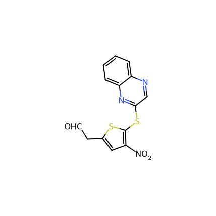 O=CCc1cc([N+](=O)[O-])c(Sc2cnc3ccccc3n2)s1